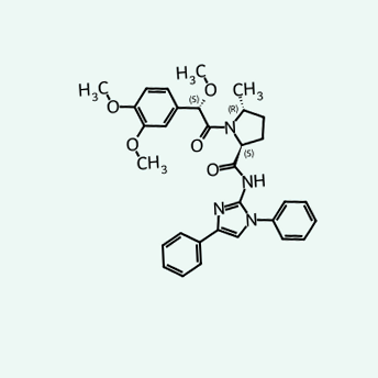 COc1ccc([C@H](OC)C(=O)N2[C@H](C)CC[C@H]2C(=O)Nc2nc(-c3ccccc3)cn2-c2ccccc2)cc1OC